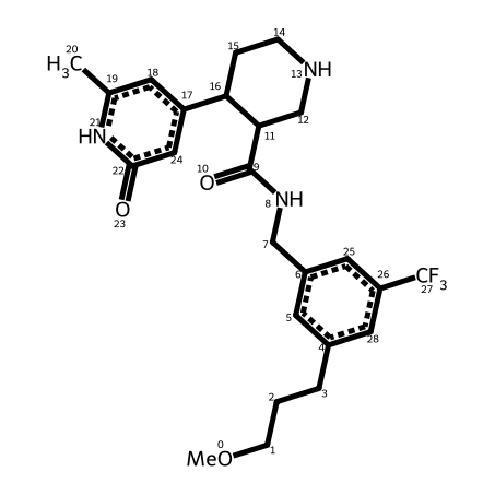 COCCCc1cc(CNC(=O)C2CNCCC2c2cc(C)[nH]c(=O)c2)cc(C(F)(F)F)c1